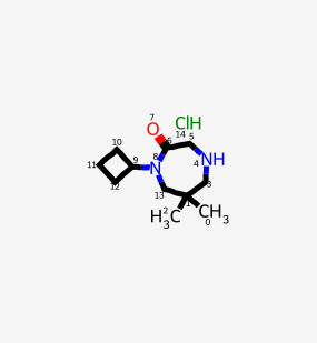 CC1(C)CNCC(=O)N(C2CCC2)C1.Cl